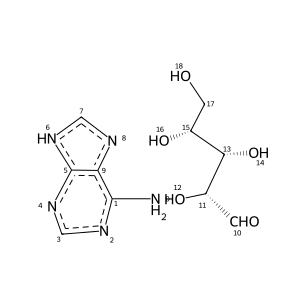 Nc1ncnc2[nH]cnc12.O=C[C@H](O)[C@@H](O)[C@H](O)CO